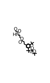 CC(C)(C)OC(=O)Oc1c(C(C)(C)C)cc(CCC(=O)OCCNC(=O)C=O)cc1C(C)(C)C